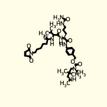 CNCC(C)(C)CN(C)C(=O)OCc1ccc(NC(=O)[C@H](CCCNC(N)=O)NC(=O)C(NC(=O)CCCCCN2C(=O)C=CC2=O)C(C)C)cc1